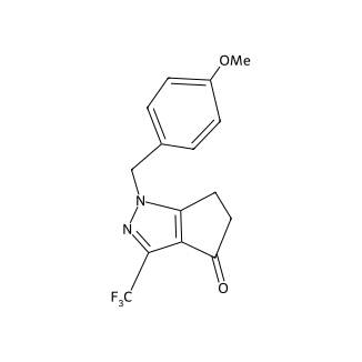 COc1ccc(Cn2nc(C(F)(F)F)c3c2CCC3=O)cc1